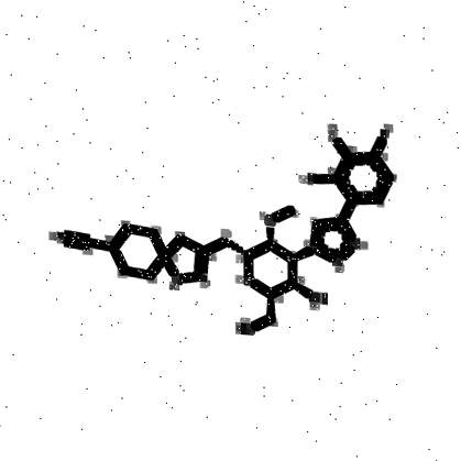 CO[C@@H]1[C@@H](n2cc(-c3ccc(F)c(F)c3F)nn2)[C@@H](O)[C@@H](CO)O[C@@H]1CC1=NOC2(CCC(C#N)CC2)C1